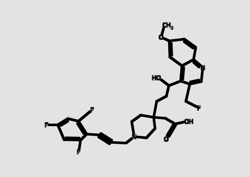 COc1ccc2ncc(CF)c(C(O)CCC3(CC(=O)O)CCN(CC#Cc4c(F)cc(F)cc4F)CC3)c2c1